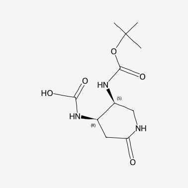 CC(C)(C)OC(=O)N[C@H]1CNC(=O)C[C@H]1NC(=O)O